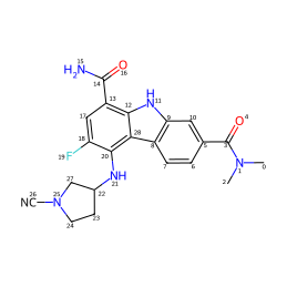 CN(C)C(=O)c1ccc2c(c1)[nH]c1c(C(N)=O)cc(F)c(NC3CCN(C#N)C3)c12